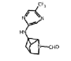 O=CN1CC2CCC1C(Nc1cnc(C(F)(F)F)cn1)C2